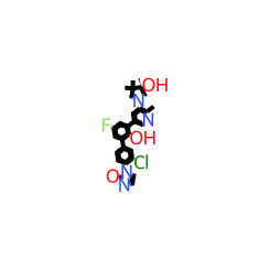 Cc1ncc(-c2cc(F)cc(-c3ccc(-n4ccn(C)c4=O)c(Cl)c3)c2O)cc1N1CC(C)(C)[C@@](C)(O)C1